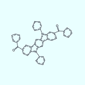 O=C(c1ccccc1)c1ccc2c(c1)c1cc3c(cc1n2-c1ccccc1)c1ccc(C(=O)c2ccccc2)cc1n3-c1ccccc1